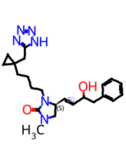 CN1C[C@H](/C=C/C(O)Cc2ccccc2)N(CCCCC2(Cc3nnn[nH]3)CC2)C1=O